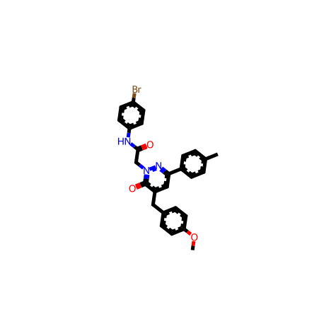 COc1ccc(Cc2cc(-c3ccc(C)cc3)nn(CC(=O)Nc3ccc(Br)cc3)c2=O)cc1